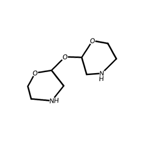 C1COC(OC2CNCCO2)CN1